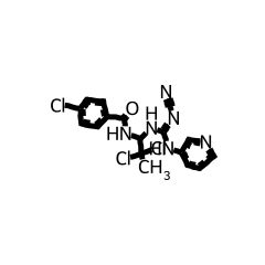 CC(Cl)(Cl)C(NC(=O)c1ccc(Cl)cc1)N/C(=N\C#N)Nc1cccnc1